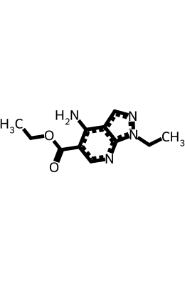 CCOC(=O)c1cnc2c(cnn2CC)c1N